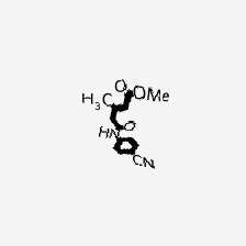 COC(=O)CC(C)CC(=O)Nc1ccc(C#N)cc1